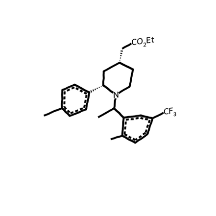 CCOC(=O)C[C@@H]1CCN(C(C)c2cc(C(F)(F)F)ccc2C)[C@H](c2ccc(C)cc2)C1